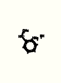 CC(=O)ONc1ccccc1.[KH].[NaH]